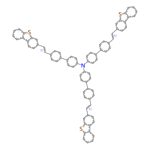 C(=C\c1ccc2c(c1)sc1ccccc12)/c1ccc(-c2ccc(N(c3ccc(-c4ccc(/C=C/c5ccc6c(c5)sc5ccccc56)cc4)cc3)c3ccc(-c4ccc(/C=C/c5ccc6c(c5)sc5ccccc56)cc4)cc3)cc2)cc1